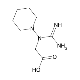 N=C(N)N(CC(=O)O)N1CCCCC1